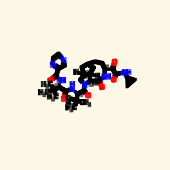 CC(C)(C)[C@H](NC(=O)c1cnccn1)C(=O)N[C@H](C(=O)N1C[C@@H]2CC3CC[C@@H](C(=O)C(=O)NC4CC4)NC(=O)[C@@H]1[C@H]2C3)C(C)(C)C